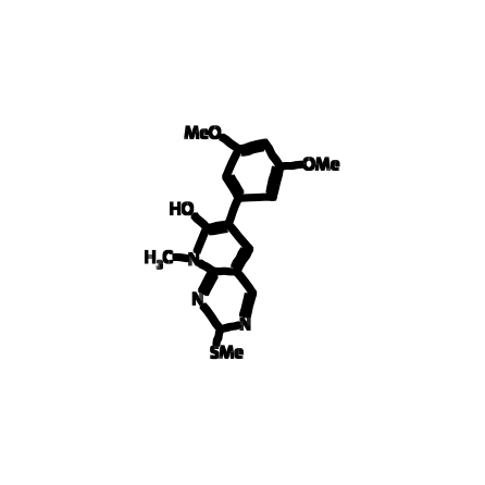 COc1cc(OC)cc(C2=C(O)N(C)C3=NC(SC)N=CC3=C2)c1